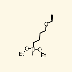 C=COCCC[CH2][Ti]([CH3])([O]CC)[O]CC